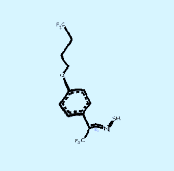 FC(F)(F)CCCOc1ccc(/C(=N\S)C(F)(F)F)cc1